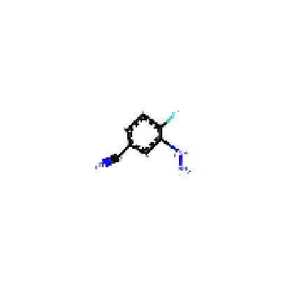 N#Cc1ccc(F)c(NN)c1